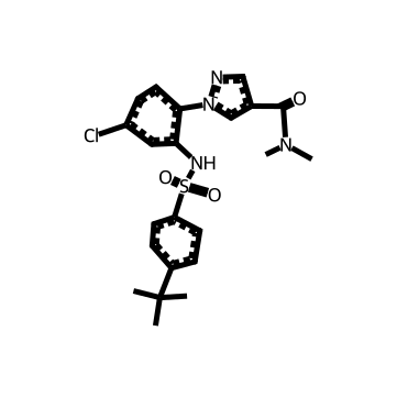 CN(C)C(=O)c1cnn(-c2ccc(Cl)cc2NS(=O)(=O)c2ccc(C(C)(C)C)cc2)c1